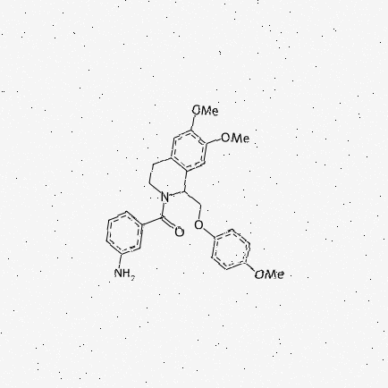 COc1ccc(OCC2c3cc(OC)c(OC)cc3CCN2C(=O)c2cccc(N)c2)cc1